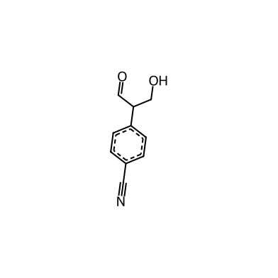 N#Cc1ccc(C(C=O)CO)cc1